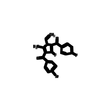 C=Cn1c(C)c(C(=O)c2ccc(Br)cc2)c(F)c1C(=O)c1ccc(F)cc1